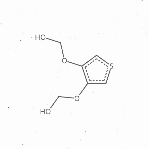 OCOc1cscc1OCO